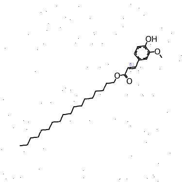 CCCCCCCCCCCCCCCCCCOC(=O)/C=C/c1ccc(O)c(OC)c1